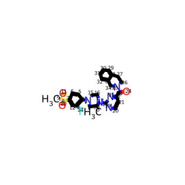 C[C@@H]1CN(c2ccc(S(C)(=O)=O)cc2F)CCN1c1nccc(C(=O)N2CCc3ccccc3C2)n1